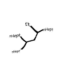 CCCCCCCC(CC)CC(CCCCCCC)CCCCCCC